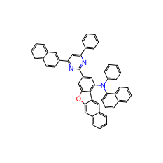 c1ccc(-c2cc(-c3ccc4ccccc4c3)nc(-c3cc(N(c4ccccc4)c4cccc5ccccc45)c4c(c3)oc3cc5ccccc5cc34)n2)cc1